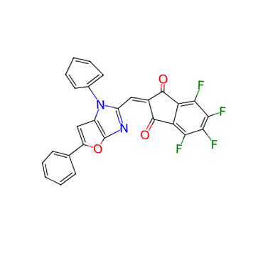 O=C1C(=Cc2nc3oc(-c4ccccc4)cc3n2-c2ccccc2)C(=O)c2c(F)c(F)c(F)c(F)c21